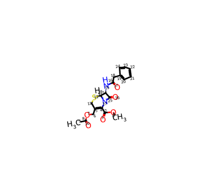 COC(=O)C1=C(COC(C)=O)CS[C@H]2[C@H](NC(=O)Cc3ccccc3)C(=O)N12